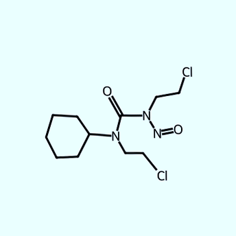 O=NN(CCCl)C(=O)N(CCCl)C1CCCCC1